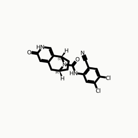 N#Cc1cc(Cl)c(Cl)cc1NC(=O)N1[C@@H]2CC[C@H]1c1c[nH]c(=O)cc1C2